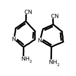 N#Cc1ccc(N)nc1.N#Cc1ccc(N)nc1